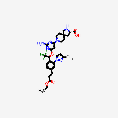 CCOC(=O)CCc1ccc(C(Oc2cc(N3CCC4(CC3)CN[C@H](C(=O)O)C4)nc(N)n2)C(F)(F)F)c(-n2ccc(C)n2)c1